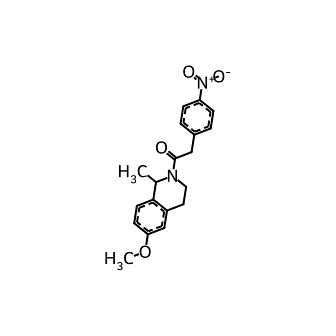 COc1ccc2c(c1)CCN(C(=O)Cc1ccc([N+](=O)[O-])cc1)C2C